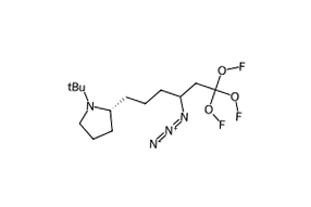 CC(C)(C)N1CCC[C@H]1CCCC(CC(OF)(OF)OF)N=[N+]=[N-]